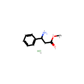 CC(C)OC(=O)CC(N)c1ccccc1.Cl